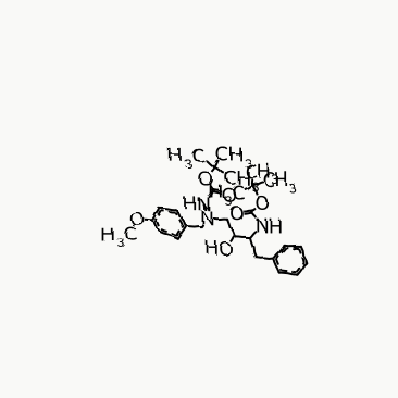 COc1ccc(CN(CC(O)C(Cc2ccccc2)NC(=O)OC(C)(C)C)NC(=O)OC(C)(C)C)cc1